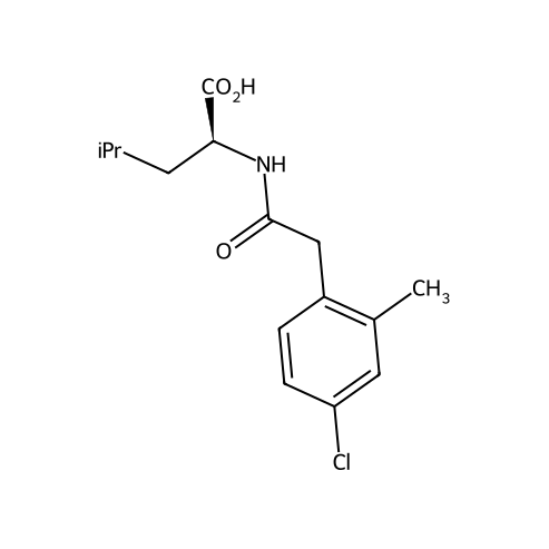 Cc1cc(Cl)ccc1CC(=O)N[C@@H](CC(C)C)C(=O)O